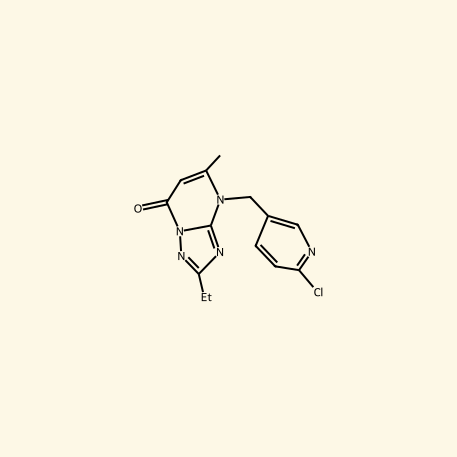 CCc1nc2n(Cc3ccc(Cl)nc3)c(C)cc(=O)n2n1